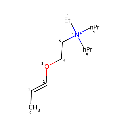 C/C=C/OCC[N+](CC)(CCC)CCC